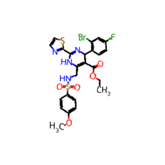 CCOC(=O)C1=C(CNS(=O)(=O)c2ccc(OC)cc2)NC(c2nccs2)=NC1c1ccc(F)cc1Br